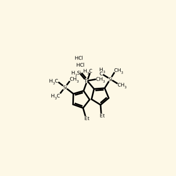 CCC1=CC([Si](C)(C)C)=[C]([Ti]([CH3])([CH3])(=[SiH2])[C]2=C([Si](C)(C)C)C=C(CC)C2)C1.Cl.Cl